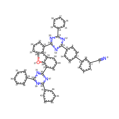 N#Cc1cccc(-c2ccc(-c3nc(-c4ccccc4)nc(-c4cccc5oc6c(-c7nc(-c8ccccc8)nc(-c8ccccc8)n7)cccc6c45)n3)cc2)c1